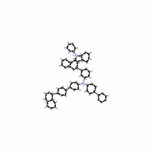 c1ccc(-c2ccc(N(c3ccc(-c4ccc(-c5cccc6ccccc56)cc4)cc3)c3cccc(-c4cc5ccccc5c5c4c4ccccc4n5-c4ccccc4)c3)cc2)cc1